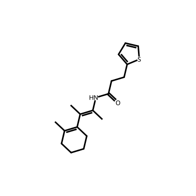 CC1=C(/C(C)=C(\C)NC(=O)CCc2cccs2)CCCC1